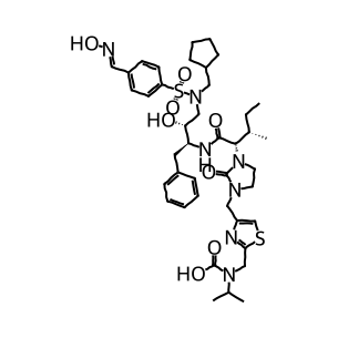 CC[C@H](C)[C@@H](C(=O)N[C@@H](Cc1ccccc1)[C@H](O)CN(CC1CCCC1)S(=O)(=O)c1ccc(C=NO)cc1)N1CCN(Cc2csc(CN(C(=O)O)C(C)C)n2)C1=O